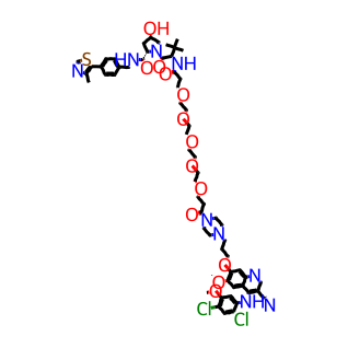 COc1cc(Nc2c(C#N)cnc3cc(OCCCN4CCN(C(=O)CCOCCOCCOCCOCCOCCC(=O)NC(C(=O)N5C[C@H](O)C[C@H]5C(=O)NCc5ccc(-c6scnc6C)cc5)C(C)(C)C)CC4)c(OC)cc23)c(Cl)cc1Cl